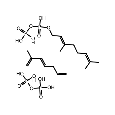 C=CCC=CC(=C)C.CC(C)=CCC/C(C)=C/COP(=O)(O)OP(=O)(O)O.O=P(O)(O)OP(=O)(O)O